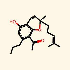 CCCc1cc(O)c2c(c1C(C)=O)O[C@@](C)(CCC=C(C)C)C=C2